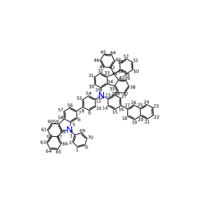 c1ccc(-n2c3cc(-c4ccc(N(c5ccc(-c6ccc7ccccc7c6)cc5)c5cccc6c5-c5ccccc5C6(c5ccccc5)c5ccccc5)cc4)ccc3c3ccc4ccccc4c32)cc1